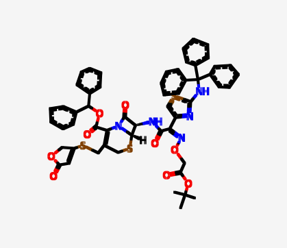 CC(C)(C)OC(=O)CO/N=C(\C(=O)N[C@@H]1C(=O)N2C(C(=O)OC(c3ccccc3)c3ccccc3)=C(CSC3=CC(=O)OC3)CS[C@@H]12)c1csc(NC(c2ccccc2)(c2ccccc2)c2ccccc2)n1